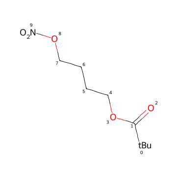 CC(C)(C)C(=O)OCCCCO[N+](=O)[O-]